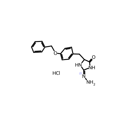 Cl.N/N=C1\NC(=O)C(Cc2ccc(OCc3ccccc3)cc2)N1